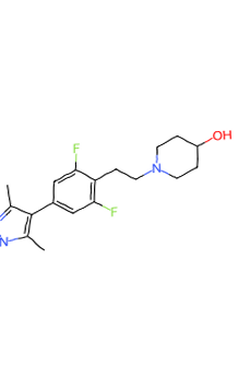 Cc1n[nH]c(C)c1-c1cc(F)c(CCN2CCC(O)CC2)c(F)c1